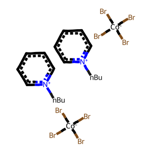 CCCC[n+]1ccccc1.CCCC[n+]1ccccc1.[Br][Co-]([Br])([Br])[Br].[Br][Co-]([Br])([Br])[Br]